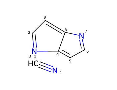 C#N.C1=NC2=CC=NC2=C1